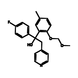 COCOc1ccc(C)cc1C(O)(Cc1ccncc1)c1ccc(F)cc1